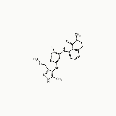 COCc1n[nH]c(C)c1Nc1cc(Nc2cccc3c2C(=O)N(C)CC3)c(Cl)cn1